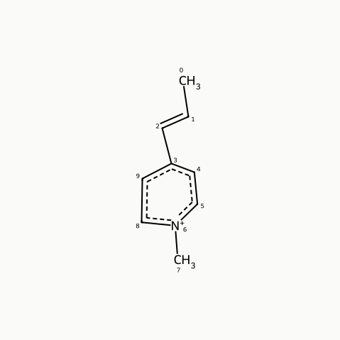 C/C=C/c1cc[n+](C)cc1